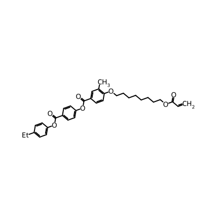 C=CC(=O)OCCCCCCCCOc1ccc(C(=O)Oc2ccc(C(=O)Oc3ccc(CC)cc3)cc2)cc1C